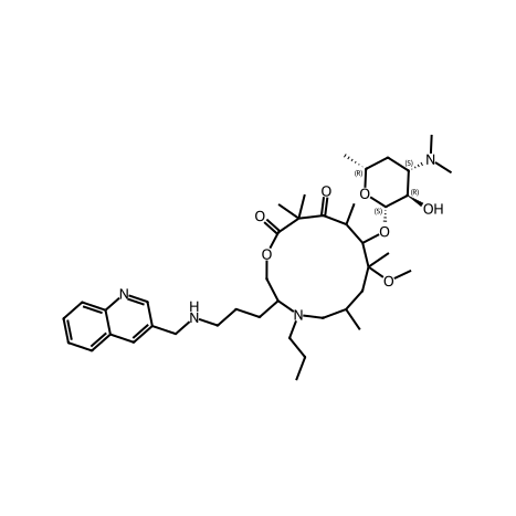 CCCN1CC(C)CC(C)(OC)C(O[C@@H]2O[C@H](C)C[C@H](N(C)C)[C@H]2O)C(C)C(=O)C(C)(C)C(=O)OCC1CCCNCc1cnc2ccccc2c1